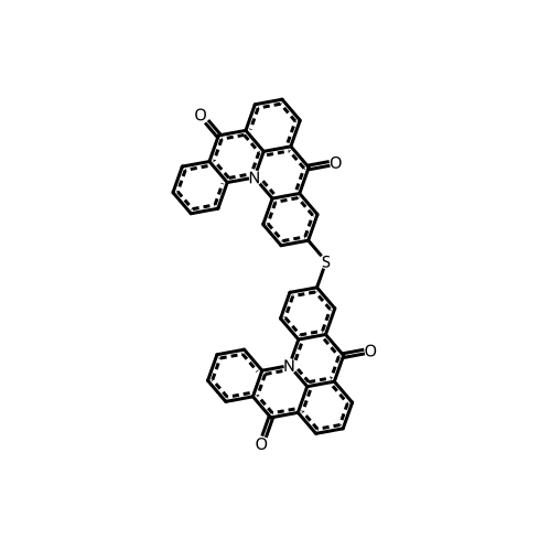 O=c1c2ccccc2n2c3ccc(Sc4ccc5c(c4)c(=O)c4cccc6c(=O)c7ccccc7n5c64)cc3c(=O)c3cccc1c32